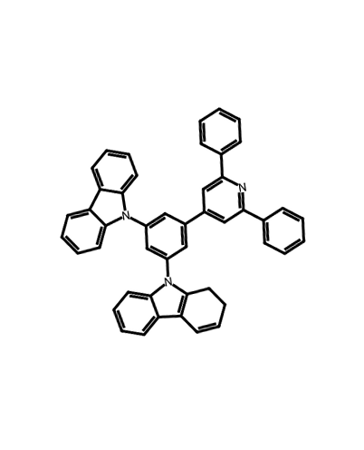 C1=Cc2c(n(-c3cc(-c4cc(-c5ccccc5)nc(-c5ccccc5)c4)cc(-n4c5ccccc5c5ccccc54)c3)c3ccccc23)CC1